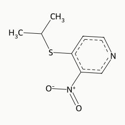 CC(C)Sc1ccncc1[N+](=O)[O-]